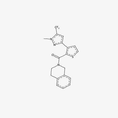 Cn1nc(-c2ccsc2C(=O)N2CCc3ccccc3C2)cc1C(F)(F)F